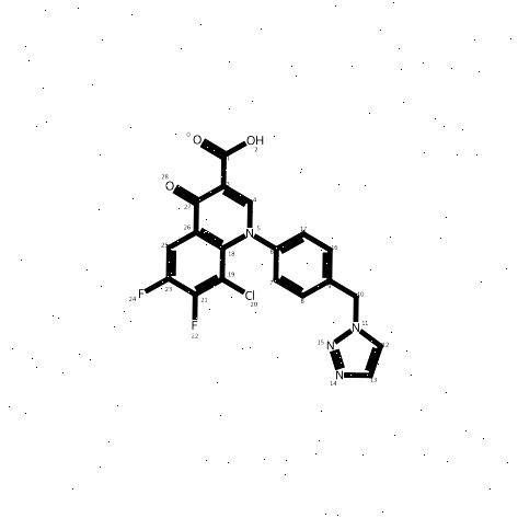 O=C(O)c1cn(-c2ccc(Cn3ccnn3)cc2)c2c(Cl)c(F)c(F)cc2c1=O